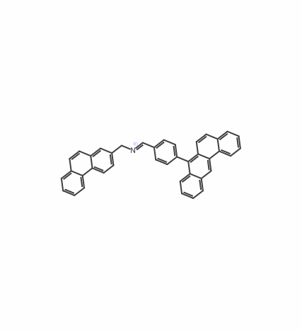 C(=N\Cc1ccc2c(ccc3ccccc32)c1)/c1ccc(-c2c3ccccc3cc3c2ccc2ccccc23)cc1